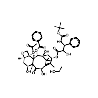 CC(=O)O[C@@]12CO[C@@H]1C[C@H](O)[C@@]1(C)C(=O)[C@H](O)C3=C(C)[C@@H](OC(=O)C(O)[C@@H](NC(=O)OC(C)(C)C)c4ccccc4)C[C@@](O)([C@@H](OC(=O)c4ccccc4)[C@H]21)C3(C)C.CCO